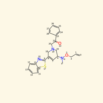 C=CCON(C)C1C=C(c2nc3ccccc3s2)CN(CC(=O)c2ccccc2)C1